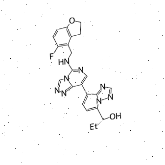 CC[C@@H](O)c1ccc(-c2cnc(NCc3c(F)ccc4c3CCO4)n3cnnc23)c2ncnn12